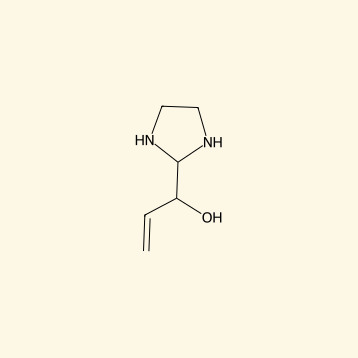 C=CC(O)C1NCCN1